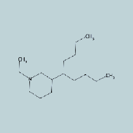 CCCCC(CCCC)C1CCCN(CC)C1